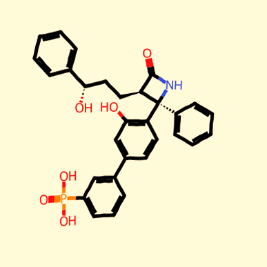 O=C1N[C@@](c2ccccc2)(c2ccc(-c3cccc(P(=O)(O)O)c3)cc2O)[C@H]1CC[C@H](O)c1ccccc1